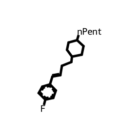 CCCCCC1CCC(CCC=Cc2ccc(F)cc2)CC1